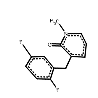 Cn1cccc(Cc2cc(F)ccc2F)c1=O